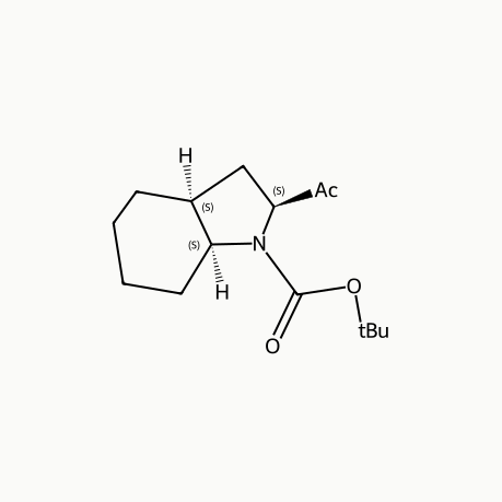 CC(=O)[C@@H]1C[C@@H]2CCCC[C@@H]2N1C(=O)OC(C)(C)C